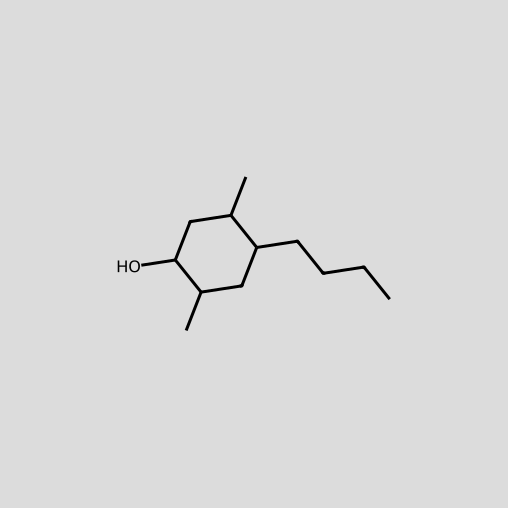 CCCCC1CC(C)C(O)CC1C